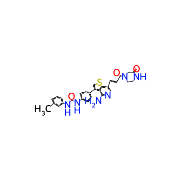 Cc1cccc(NC(=O)Nc2ccc(-c3csc4c(C=CC(=O)N5CCNC(=O)C5)cnc(N)c34)cc2)c1